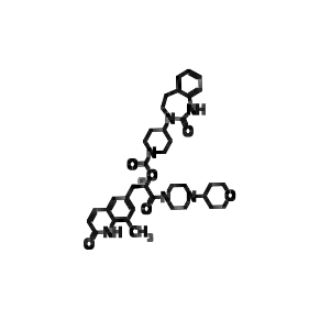 Cc1cc(C[C@@H](OC(=O)N2CCC(N3CCc4ccccc4NC3=O)CC2)C(=O)N2CCN(C3CCOCC3)CC2)cc2ccc(=O)[nH]c12